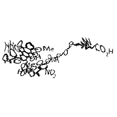 COc1cc(C(C)OC(=O)N2CO[C@@H]3[C@H](C)O[C@@H](C[C@H]4C[C@](O)(C(=O)CO)Cc5c(O)c6c(c(O)c54)C(=O)c4c(OC)cccc4C6=O)C[C@@H]32)c([N+](=O)[O-])cc1OCC(=O)NCCOCCOCCOCCn1cc(CCC(=O)O)nn1